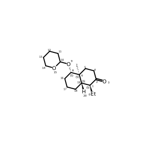 CC[C@@H]1C(=O)CC[C@]2(C)[C@@H](OC3CCCCO3)CCC[C@@H]12